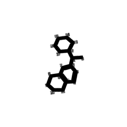 CC(c1ccc2c(c1)CCCC2)C1CCCCC1